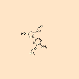 CCOc1nc(N2CC(O)CC2NC=O)ccc1N